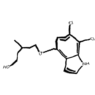 CC(CO)COc1cc(Cl)c(Cl)c2[nH]ccc12